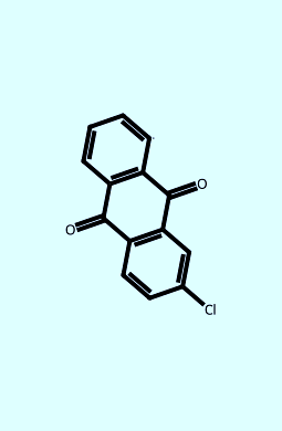 O=C1c2[c]cccc2C(=O)c2ccc(Cl)cc21